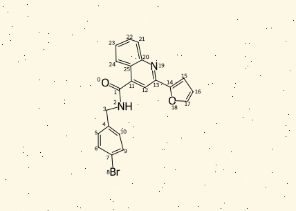 O=C(NCc1ccc(Br)cc1)c1cc(-c2ccco2)nc2ccccc12